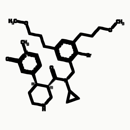 COCCCc1cc(CCCOC)c(Br)c(CN(C(=O)[C@@H]2CNCC[C@H]2c2ccn(C)c(=O)c2)C2CC2)c1